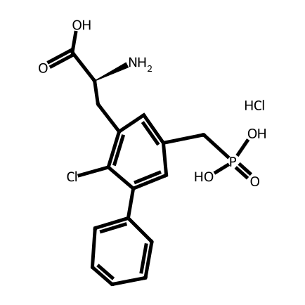 Cl.N[C@@H](Cc1cc(CP(=O)(O)O)cc(-c2ccccc2)c1Cl)C(=O)O